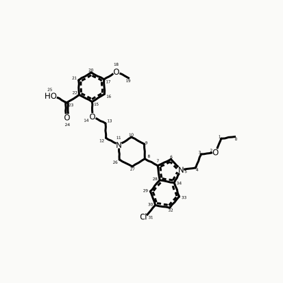 CCOCCn1cc(C2CCN(CCOc3cc(OC)ccc3C(=O)O)CC2)c2cc(Cl)ccc21